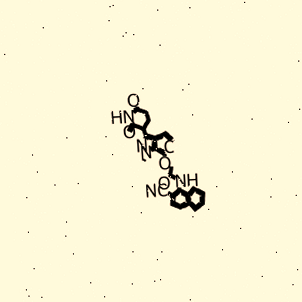 Cn1nc(C2CCC(=O)NC2=O)c2cccc(OCC(=O)Nc3c(C#N)ccc4ccccc34)c21